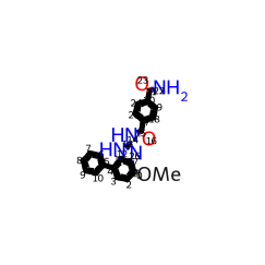 COc1ccc(-c2ccccc2)c2[nH]c(NC(=O)c3ccc(C(N)=O)cc3)nc12